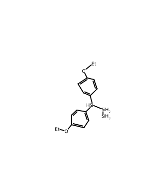 CCOc1ccc([SiH]([SiH2][SiH3])c2ccc(OCC)cc2)cc1